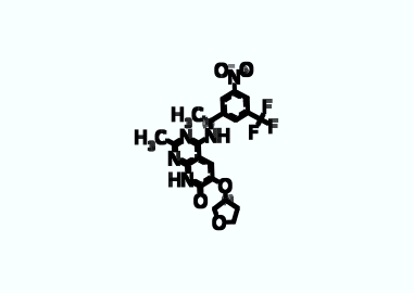 Cc1nc(N[C@H](C)c2cc([N+](=O)[O-])cc(C(F)(F)F)c2)c2cc(O[C@H]3CCOC3)c(=O)[nH]c2n1